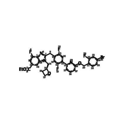 CCOC(=O)c1cc(F)c2nc(Cc3cc(F)c(-c4cccc(OCc5ccc(Br)cc5F)n4)cc3F)n(C[C@@H]3CCO3)c2c1